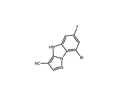 N#Cc1cnn2c1[nH]c1cc(F)cc(Br)c12